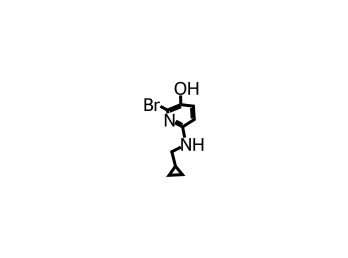 Oc1ccc(NCC2CC2)nc1Br